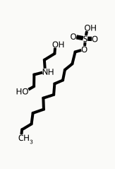 CCCCCCCCCCCCOS(=O)(=O)O.OCCNCCO